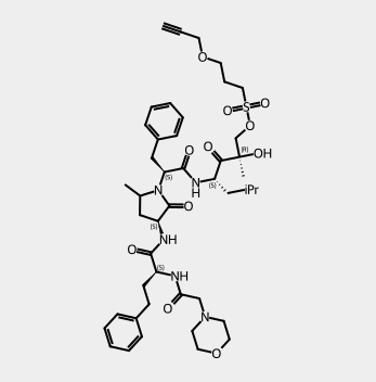 C#CCOCCCS(=O)(=O)OC[C@@](C)(O)C(=O)[C@H](CC(C)C)NC(=O)[C@H](Cc1ccccc1)N1C(=O)[C@@H](NC(=O)[C@H](CCc2ccccc2)NC(=O)CN2CCOCC2)CC1C